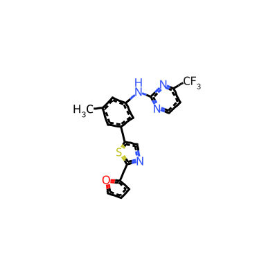 Cc1cc(Nc2nccc(C(F)(F)F)n2)cc(-c2cnc(-c3ccco3)s2)c1